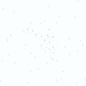 Cc1ccc2c(-c3ccc(-c4ccccc4)cc3)c3ccccc3c(-c3cccc4c3sc3ccccc34)c2c1